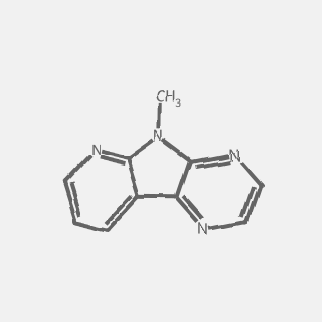 Cn1c2ncccc2c2nccnc21